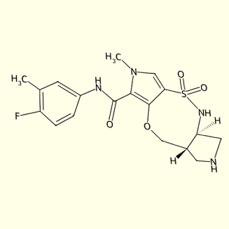 Cc1cc(NC(=O)c2c3c(cn2C)S(=O)(=O)N[C@H]2CNC[C@@H]2CO3)ccc1F